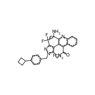 Cc1c(-c2c(C(N)=O)nc3ccccc3c2C(N)=O)c(C(F)(F)F)nn1Cc1ccc(C2CCC2)cc1